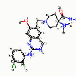 COc1cc2nc(Nc3cccc(Cl)c3F)ncc2cc1CN1CCC(C(N)=O)(N(C)C)CC1